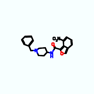 O=C(NC1CCN(Cc2ccccc2)CC1)c1occ2cccc([N+](=O)[O-])c12